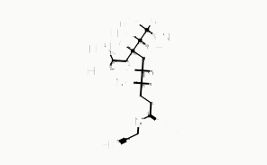 C#CCNC(=C)CCC(C)(C#N)C(C)(C)CC(C)(CC(C)N)C(C)(C)C(C)(C#N)CCC